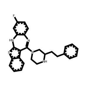 Fc1ccc2c(c1)Nc1sc3ccccc3c1C(N1CCNC(CCc3ccccc3)C1)=N2